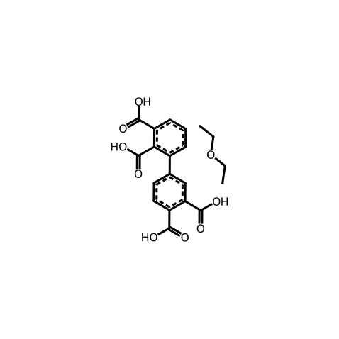 CCOCC.O=C(O)c1ccc(-c2cccc(C(=O)O)c2C(=O)O)cc1C(=O)O